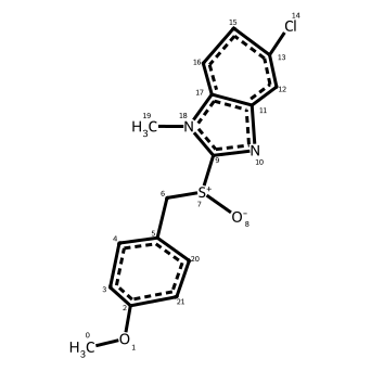 COc1ccc(C[S+]([O-])c2nc3cc(Cl)ccc3n2C)cc1